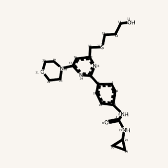 O=C(Nc1ccc(-c2nc(CSCCCO)cc(N3CCOCC3)n2)cc1)NC1CC1